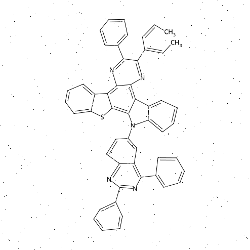 C/C=C\C(=C/C)c1nc2c(nc1-c1ccccc1)c1c3ccccc3sc1c1c2c2ccccc2n1-c1ccc2nc(-c3ccccc3)nc(-c3ccccc3)c2c1